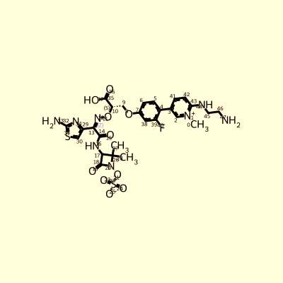 C[n+]1cc(-c2ccc(OC[C@H](O/N=C(\C(=O)NC3C(=O)N(OS(=O)(=O)[O-])C3(C)C)c3csc(N)n3)C(=O)O)cc2F)ccc1NCCN